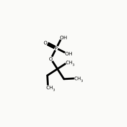 CCC(C)(CC)OP(=O)(O)O